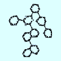 c1ccc(-c2ccc(-c3ccccc3-c3nc(-c4ccccc4)nc(-c4cccc5c(-c6cccc7ccccc67)cccc45)n3)cc2)cc1